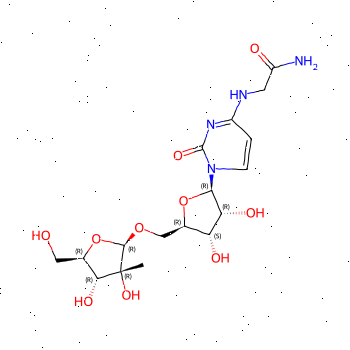 C[C@]1(O)[C@H](OC[C@H]2O[C@@H](n3ccc(NCC(N)=O)nc3=O)[C@H](O)[C@@H]2O)O[C@H](CO)[C@H]1O